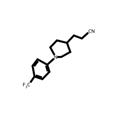 N#CCCC1CCN(c2ccc(C(F)(F)F)cc2)CC1